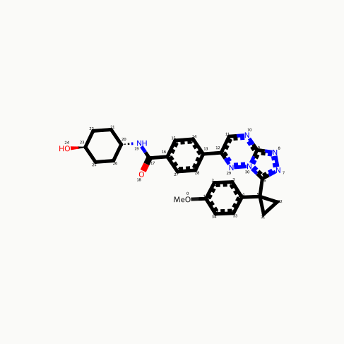 COc1ccc(C2(c3nnc4ncc(-c5ccc(C(=O)N[C@H]6CC[C@H](O)CC6)cc5)nn34)CC2)cc1